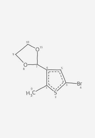 Cc1sc(Br)cc1C1OCCO1